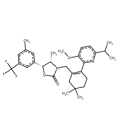 COc1ccc(C(C)C)nc1C1=C(CN2C(=O)O[C@H](c3cc(C)cc(C(F)(F)F)c3)[C@@H]2C)CC(C)(C)CC1